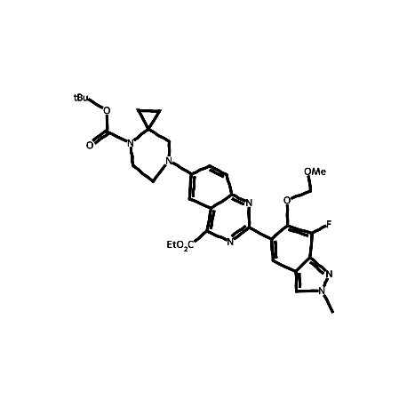 CCOC(=O)c1nc(-c2cc3cn(C)nc3c(F)c2OCOC)nc2ccc(N3CCN(C(=O)OC(C)(C)C)C4(CC4)C3)cc12